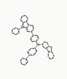 c1ccc(-c2ccc(N(c3ccc(-c4ccc5c6ccccc6n(-c6ccccc6)c5c4)cc3)c3ccc4sc5ccccc5c4c3)cc2)cc1